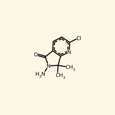 CC1(C)c2nc(Cl)ccc2C(=O)N1N